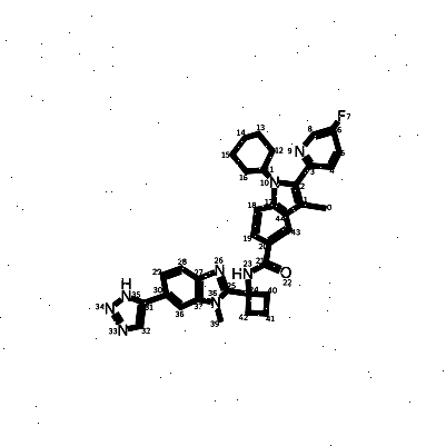 Cc1c(-c2ccc(F)cn2)n(C2CCCCC2)c2ccc(C(=O)NC3(c4nc5ccc(-c6cnn[nH]6)cc5n4C)CCC3)cc12